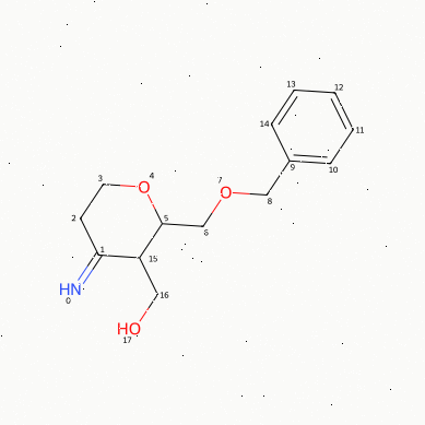 N=C1CCOC(COCc2ccccc2)C1CO